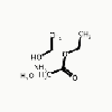 CCO.CCOC(C)=O.N.O